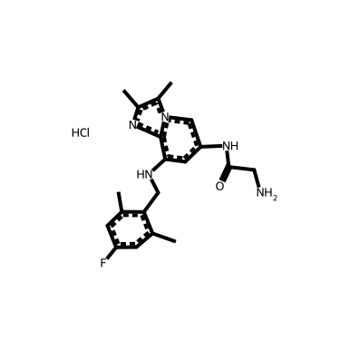 Cc1cc(F)cc(C)c1CNc1cc(NC(=O)CN)cn2c(C)c(C)nc12.Cl